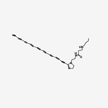 C#CC#CC#CC#CC#CC#CC#CC#CC#CC1=NCCN1CCNC(=O)CCNCCCC